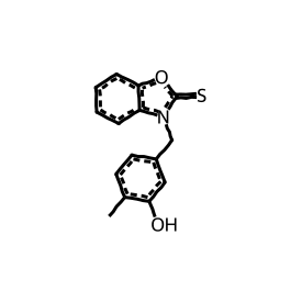 Cc1ccc(Cn2c(=S)oc3ccccc32)cc1O